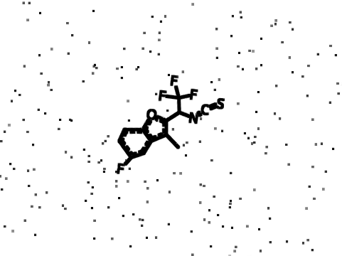 Cc1c(C(N=C=S)C(F)(F)F)oc2ccc(F)cc12